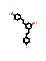 Oc1ccc(/C=C/c2cc(O)cc(/C=C/c3ccc(O)cc3)c2)cc1